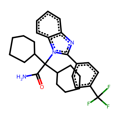 NC(=O)C(C1CCCCC1)(C1CCCCC1)n1c(-c2ccc(C(F)(F)F)cc2)nc2ccccc21